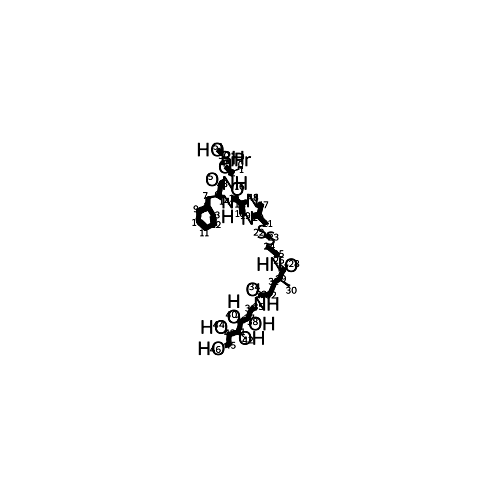 CC(C)C[C@H](NC(=O)[C@H](Cc1ccccc1)NC(=O)c1cnc(CSSCCNC(=O)[C@@H](C)CCC(=O)NC[C@H](O)[C@@H](O)[C@H](O)[C@H](O)CO)cn1)OBO